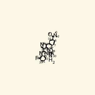 CN(C)C(=O)c1cccc(-c2cncc(-c3nc4c(F)cccc4[nH]3)c2N2CCC(C)(N)C2)c1